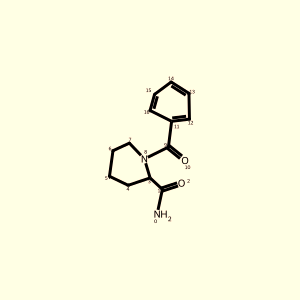 NC(=O)C1C[CH]CCN1C(=O)c1ccccc1